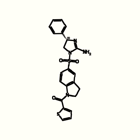 NC1=N[C@@H](c2ccccc2)CN1S(=O)(=O)c1ccc2c(c1)CCN2C(=O)c1cccs1